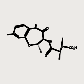 Cc1ccc2c(c1)O[C@@H](C)[C@H](NC(=O)[C@H](C)N(C)C(=O)O)C(=O)N2